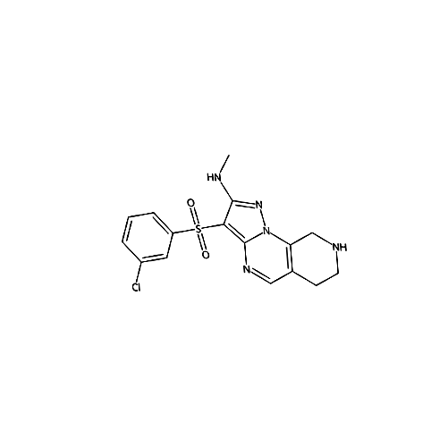 CNc1nn2c3c(cnc2c1S(=O)(=O)c1cccc(Cl)c1)CCNC3